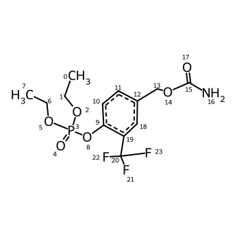 CCOP(=O)(OCC)Oc1ccc(COC(N)=O)cc1C(F)(F)F